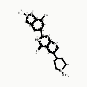 CN1CCC(c2cnc3nc(-c4cc(F)c5nn(C)cc5c4)[nH]c(=O)c3c2)CC1